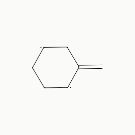 C=C1[CH]CC[CH]C1